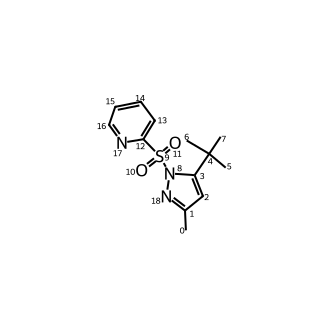 Cc1cc(C(C)(C)C)n(S(=O)(=O)c2ccccn2)n1